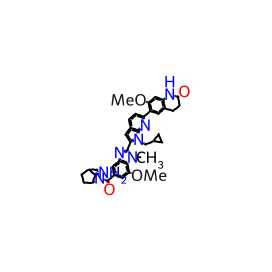 COc1cc2c(cc1-c1ccc3cc(-c4nc5cc(C(=O)N6CC7CCC6C7N)cc(OC)c5n4C)n(CC4CC4)c3n1)CCC(=O)N2